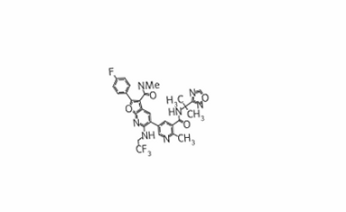 CNC(=O)c1c(-c2ccc(F)cc2)oc2nc(NCC(F)(F)F)c(-c3cnc(C)c(C(=O)NC(C)(C)c4ncon4)c3)cc12